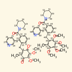 COC1=C(OC)C(=O)C(Cc2cccc(C(=O)N3CCCCC3)c2-c2cccnc2)=C(C)C1=O.COc1c(C)c(Cc2cccc(C(=O)N3CCCCC3)c2-c2cccnc2)c(OC)c(OC)c1OC